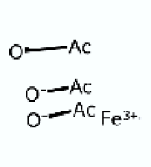 CC(=O)[O-].CC(=O)[O-].CC(=O)[O-].[Fe+3]